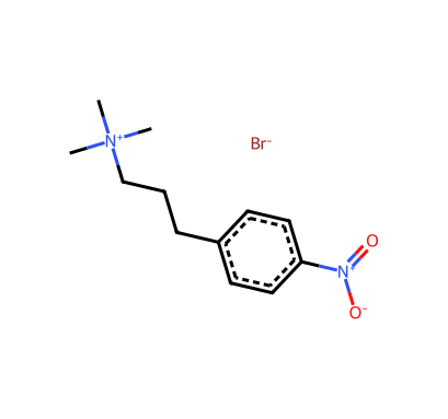 C[N+](C)(C)CCCc1ccc([N+](=O)[O-])cc1.[Br-]